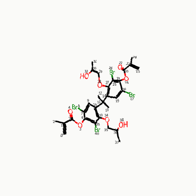 C=C(C)C(=O)Oc1c(Br)cc(C(C)(C)c2cc(Br)c(OC(=O)C(=C)C)c(Br)c2OCC(C)O)c(OCC(C)O)c1Br